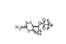 O=S(=O)(Oc1[nH]nc2c1CCN(P)C2)C(F)(F)F